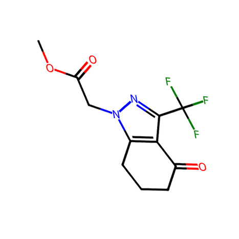 COC(=O)Cn1nc(C(F)(F)F)c2c1CCCC2=O